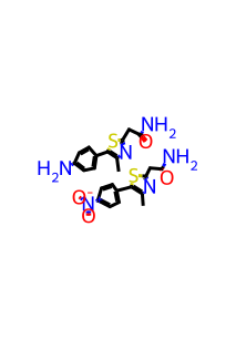 Cc1nc(CC(N)=O)sc1-c1ccc(N)cc1.Cc1nc(CC(N)=O)sc1-c1ccc([N+](=O)[O-])cc1